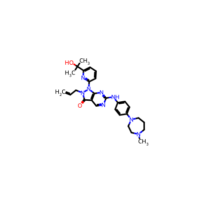 C=CCn1c(=O)c2cnc(Nc3ccc(N4CCCN(C)CC4)cc3)nc2n1-c1cccc(C(C)(C)O)n1